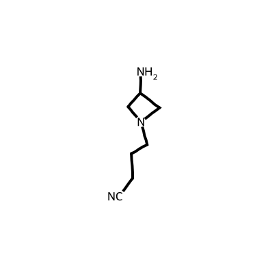 N#CCCCN1CC(N)C1